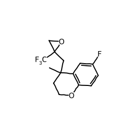 CC1(CC2(C(F)(F)F)CO2)CCOc2ccc(F)cc21